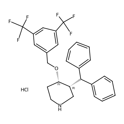 Cl.FC(F)(F)c1cc(CO[C@H]2CCNC[C@H]2C(c2ccccc2)c2ccccc2)cc(C(F)(F)F)c1